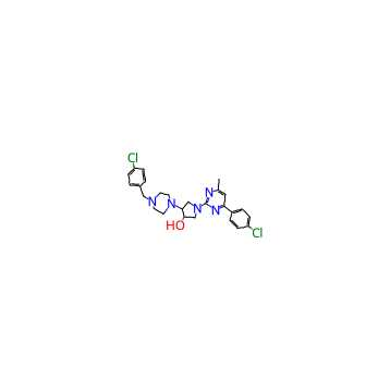 Cc1cc(-c2ccc(Cl)cc2)nc(N2CC(O)C(N3CCN(Cc4ccc(Cl)cc4)CC3)C2)n1